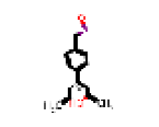 C=CC[C@@H](CC(=C)O)c1ccc(CP=O)cc1